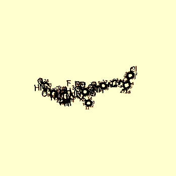 [2H]C1([2H])N(CC[C@H](CSc2ccccc2)Nc2ccc(S(=O)(=O)NC(=O)c3ccc(N4CCN(CC5=C(c6ccc(Cl)cc6)CCC(C)(C)C5)CC4)cc3)cc2S(=O)(=O)C(F)(F)F)C([2H])([2H])C([2H])([2H])N(Cc2ccc(N3CCC(=O)NC3=O)cn2)C1([2H])[2H]